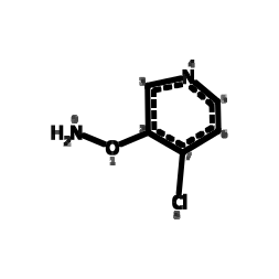 NOc1cnccc1Cl